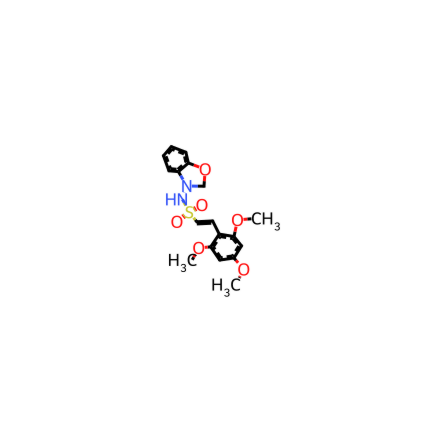 COc1cc(OC)c(C=CS(=O)(=O)NN2COc3ccccc32)c(OC)c1